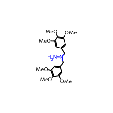 COc1cc(CN(N)Cc2cc(OC)c(OC)c(OC)c2)cc(OC)c1OC